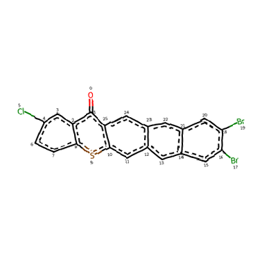 O=c1c2cc(Cl)ccc2sc2cc3cc4cc(Br)c(Br)cc4cc3cc12